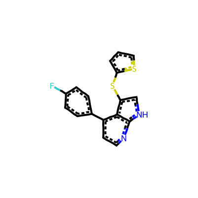 Fc1ccc(-c2ccnc3[nH]cc(Sc4cccs4)c23)cc1